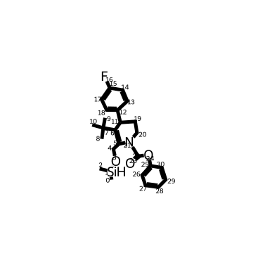 C[SiH](C)OCC1=C(C(C)(C)C)C(c2ccc(F)cc2)CCN1C(=O)Oc1ccccc1